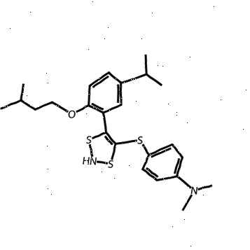 CC(C)CCOc1ccc(C(C)C)cc1C1=C(Sc2ccc(N(C)C)cc2)SNS1